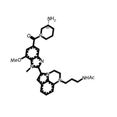 COc1cc(C(=O)N2CCC[C@@H](N)C2)cc2nc(-c3cc4cccc5c4n3CCN5CCCNC(C)=O)n(C)c12